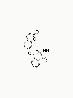 C/N=C(/C(=O)NC)c1ccccc1COc1ccc2ccc(=O)oc2c1